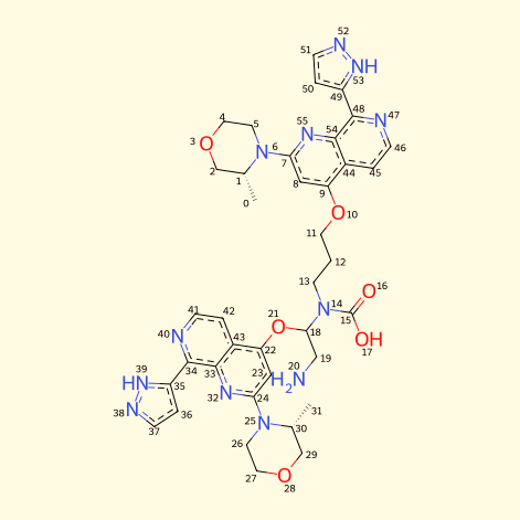 C[C@@H]1COCCN1c1cc(OCCCN(C(=O)O)C(CN)Oc2cc(N3CCOC[C@H]3C)nc3c(-c4ccn[nH]4)nccc23)c2ccnc(-c3ccn[nH]3)c2n1